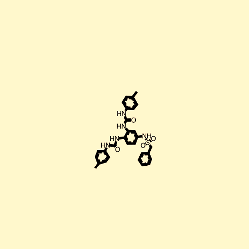 Cc1ccc(NC(=O)Nc2ccc(NS(=O)(=O)Cc3ccccc3)cc2NC(=O)Nc2ccc(C)cc2)cc1